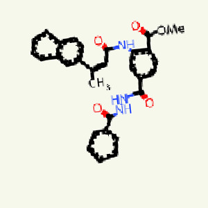 COC(=O)c1ccc(C(=O)NNC(=O)c2ccccc2)cc1NC(=O)/C=C(/C)c1ccc2ccccc2c1